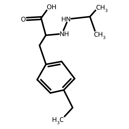 CCc1ccc(CC(NNC(C)C)C(=O)O)cc1